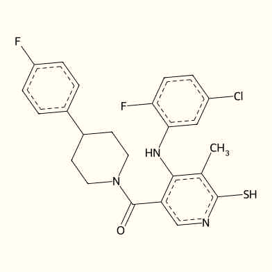 Cc1c(S)ncc(C(=O)N2CCC(c3ccc(F)cc3)CC2)c1Nc1cc(Cl)ccc1F